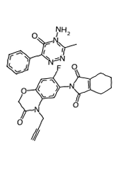 C#CCN1C(=O)COc2cc(F)c(N3C(=O)C4=C(CCCC4)C3=O)cc21.Cc1nnc(-c2ccccc2)c(=O)n1N